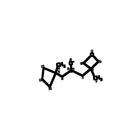 CC1(C[S+]([O-])CC2(C)COC2)CCC1